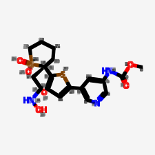 COC(=O)Nc1cncc(-c2ccc([C@@]3(CC(=O)NO)CCCCS3(=O)=O)s2)c1